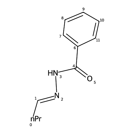 CCCC=NNC(=O)c1ccccc1